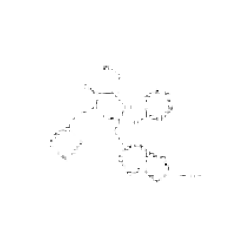 CC(C)C[C@H](NP(=O)(Cc1ccc2sc(C(=O)O)cc2c1)Oc1ccccc1)C(=O)OCc1ccccc1